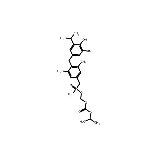 Cc1cc(CP(C)(=O)OCOC(=O)OC(C)C)cc(C)c1Cc1cc(Br)c(O)c(C(C)C)c1